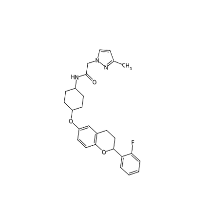 Cc1ccn(CC(=O)NC2CCC(Oc3ccc4c(c3)CCC(c3ccccc3F)O4)CC2)n1